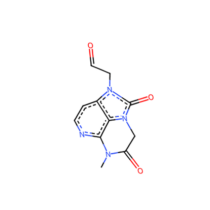 CN1C(=O)Cn2c(=O)n(CC=O)c3ccnc1c32